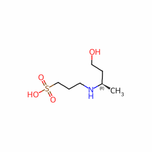 C[C@H](CCO)NCCCS(=O)(=O)O